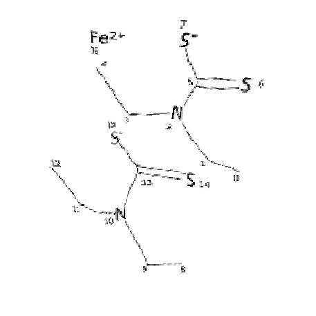 CCN(CC)C(=S)[S-].CCN(CC)C(=S)[S-].[Fe+2]